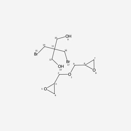 C(OCC1CO1)C1CO1.OCC(CO)(CBr)CBr